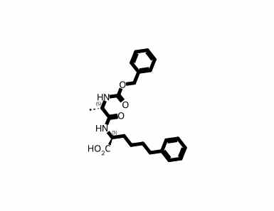 C[C@H](NC(=O)OCc1ccccc1)C(=O)N[C@@H](CCCCc1ccccc1)C(=O)O